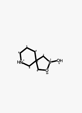 OB1CC2(CCCNC2)CO1